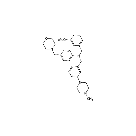 COc1cccc(CN(Cc2cccc(N3CCN(C)CC3)c2)c2ccc(CN3CCOCC3)cc2)c1